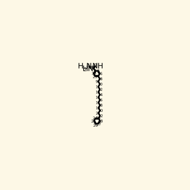 N=C(NN)c1ccc(CCCCCCCCCCCCCCCc2ccccc2)cc1